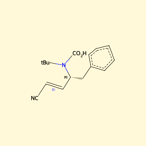 CC(C)(C)N(C(=O)O)[C@@H](/C=C/C#N)Cc1ccccc1